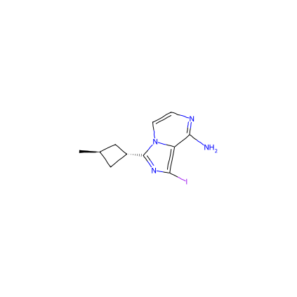 C[C@H]1C[C@H](c2nc(I)c3c(N)nccn32)C1